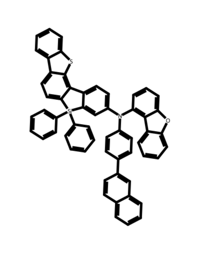 c1ccc([Si]2(c3ccccc3)c3cc(N(c4ccc(-c5ccc6ccccc6c5)cc4)c4cccc5oc6ccccc6c45)ccc3-c3c2ccc2c3sc3ccccc32)cc1